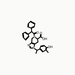 Cc1cc(C(C)n2cnc3c2CC(C(=O)O)N(C(=O)C(c2ccccc2)c2ccccc2)C3)ccc1O